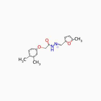 Cc1ccc(/C=N/NC(=O)COc2ccc(C)c(C)c2)o1